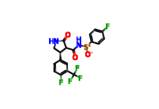 O=C1NC[C@H](c2ccc(F)c(C(F)(F)F)c2)C1C(=O)N[S+]([O-])c1ccc(F)cc1